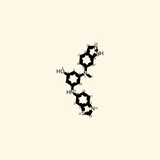 CN(c1cc(O)cc(Nc2ccc3ncsc3c2)c1)c1ccc2cn[nH]c2c1